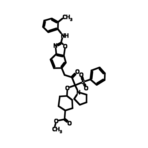 COC(=O)C1CCC(OC(C(=O)Cc2ccc3nc(Nc4ccccc4C)oc3c2)(N2CCCC2)S(=O)(=O)c2ccccc2)CC1